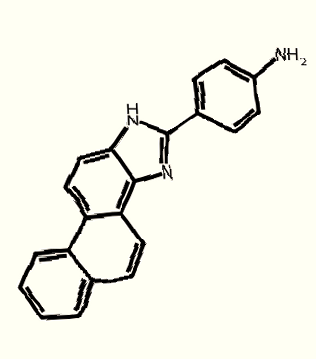 Nc1ccc(-c2nc3c(ccc4c5ccccc5ccc43)[nH]2)cc1